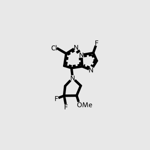 COC1CN(c2cc(Cl)nn3c(F)cnc23)CC1(F)F